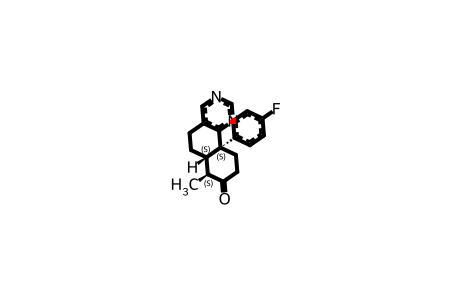 C[C@@H]1C(=O)CC[C@]2(c3ccc(F)cc3)c3ncncc3CC[C@@H]12